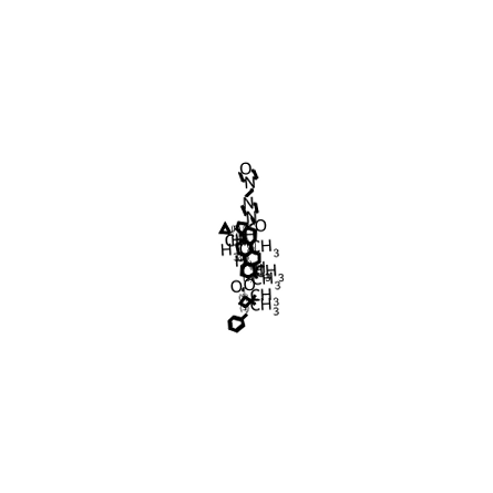 CC1([C@@H]2CC[C@]3(C(=O)N4CCN(CCN5CCOCC5)CC4)CC[C@]4(C)[C@H](CC[C@@H]5[C@@]6(C)CC[C@H](OC(=O)[C@H]7C[C@@H](Cc8ccccc8)C7(C)C)C(C)(C)[C@@H]6CC[C@]54C)[C@@H]23)CC1